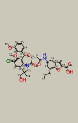 CCCc1cc(NC(=O)C[C@H]2O[C@H](c3cccc(OC)c3OC)c3cc(Cl)ccc3N(CC(C)(C)CO)C2=O)cc2cc(C(=O)O)oc12